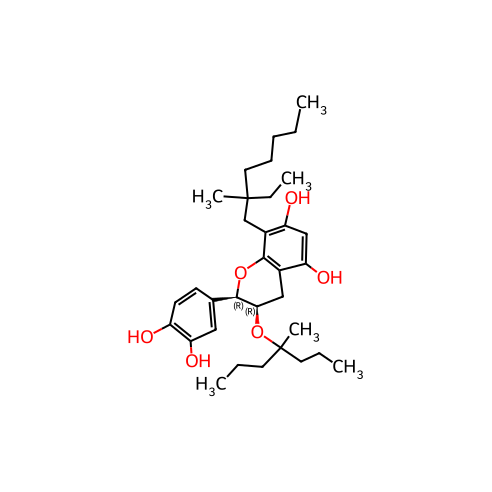 CCCCCC(C)(CC)Cc1c(O)cc(O)c2c1O[C@H](c1ccc(O)c(O)c1)[C@H](OC(C)(CCC)CCC)C2